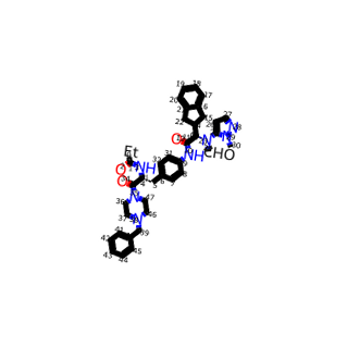 CCC(=O)N[C@H](Cc1ccc(NC(=O)[C@H](C2Cc3ccccc3C2)N(C=O)c2ccnn2C)cc1)C(=O)N1CCN(Cc2ccccc2)CC1